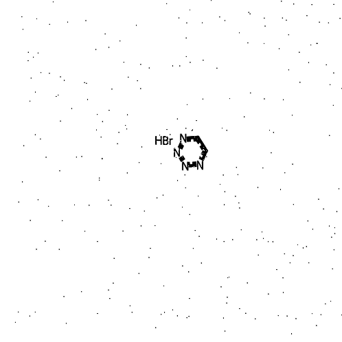 Br.c1cnnnn1